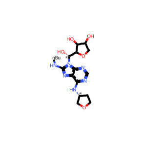 CCCCNc1nc2c(N[C@@H]3CCOC3)ncnc2n1[C@H](O)C1OCC(O)C1O